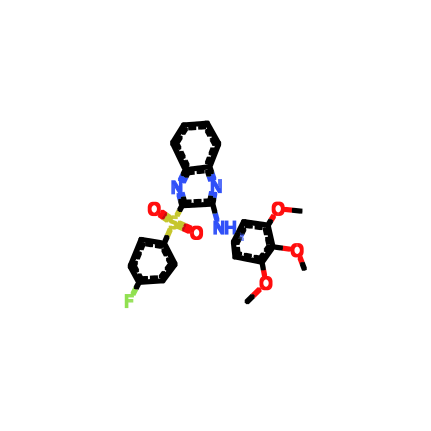 COc1cccc(OC)c1OC.Nc1nc2ccccc2nc1S(=O)(=O)c1ccc(F)cc1